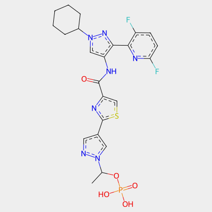 CC(OP(=O)(O)O)n1cc(-c2nc(C(=O)Nc3cn(C4CCCCC4)nc3-c3nc(F)ccc3F)cs2)cn1